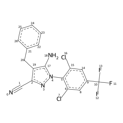 N#Cc1nn(-c2c(Cl)cc(C(F)(F)F)cc2Cl)c(N)c1Cc1ccccc1